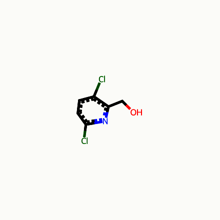 OCc1nc(Cl)ccc1Cl